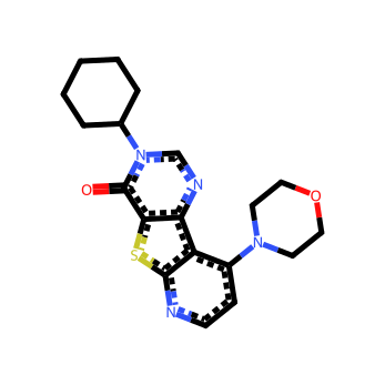 O=c1c2sc3nccc(N4CCOCC4)c3c2ncn1C1CCCCC1